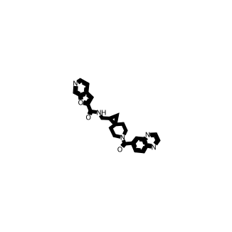 O=C(NCC1CC12CCN(C(=O)c1ccc3nccnc3c1)CC2)c1cc2ccncc2o1